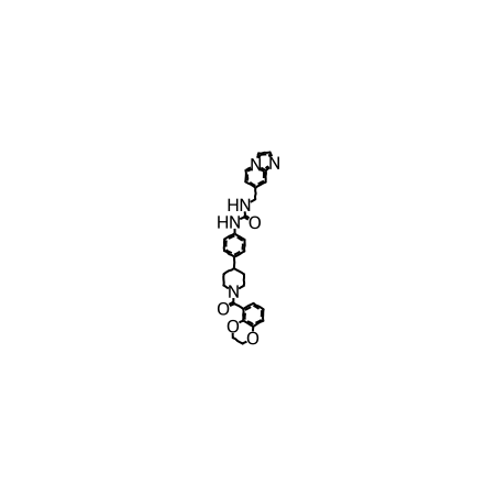 O=C(NCc1ccn2ccnc2c1)Nc1ccc(C2CCN(C(=O)c3cccc4c3OCCO4)CC2)cc1